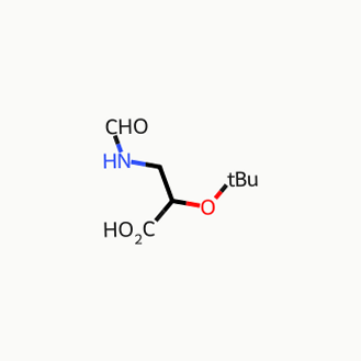 CC(C)(C)OC(CNC=O)C(=O)O